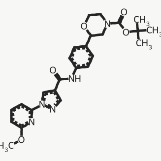 COc1cccc(-n2cc(C(=O)Nc3ccc(C4CN(C(=O)OC(C)(C)C)CCO4)cc3)cn2)n1